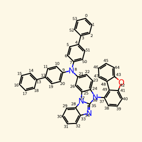 c1ccc(-c2ccc(N(c3ccc(-c4ccccc4)cc3)c3ccc4c(c3)n3c5ccccc5nc3n4-c3cccc4oc5ccccc5c34)cc2)cc1